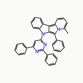 Cc1cccc2c3c4ccccc4n(-c4cc(-c5ccccc5)nc(-c5ccccc5)n4)c3c(-c3ccccc3)n12